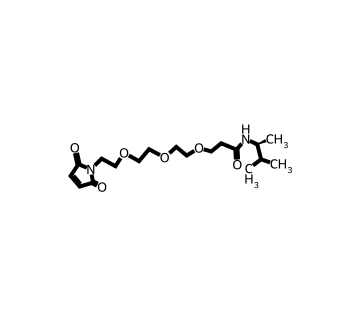 CC(C)[C@H](C)NC(=O)CCOCCOCCOCCN1C(=O)C=CC1=O